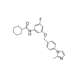 Cc1nccn1-c1ccc(COc2cc(F)cc(NC(=O)C3CCCCC3)c2)cc1